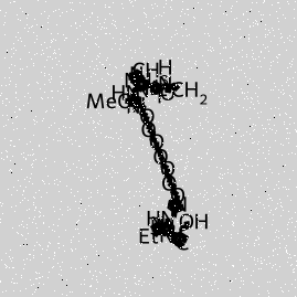 C=CC(=O)N[C@@H]1CN(c2nc(Nc3cn(CCOCCOCCOCCOCCOCCOCCOc4ccc(CNc5cc(N6CCCC[C@@H]6CCO)nc6c(CC)cnn56)cn4)nc3OC)c3ncn(C)c3n2)C[C@H]1F